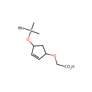 CC(C)(C)[Si](C)(C)OC1C=CC(OCC(=O)O)C1